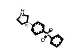 O=S(=O)(c1c[c]c([C@@H]2CCNC2)cc1)c1ccccc1